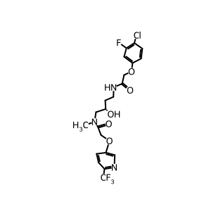 CN(C[C@@H](O)CCNC(=O)COc1ccc(Cl)c(F)c1)C(=O)COc1ccc(C(F)(F)F)nc1